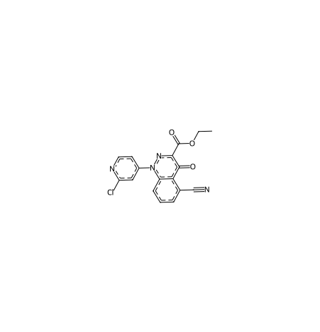 CCOC(=O)c1nn(-c2ccnc(Cl)c2)c2cccc(C#N)c2c1=O